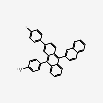 Cc1ccc(-c2c3ccccc3c(-c3ccc4ccccc4c3)c3ccc(-c4ccc(F)cc4)cc23)cc1